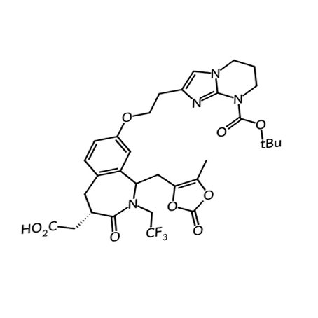 Cc1oc(=O)oc1CC1c2cc(OCCc3cn4c(n3)N(C(=O)OC(C)(C)C)CCC4)ccc2C[C@@H](CC(=O)O)C(=O)N1CC(F)(F)F